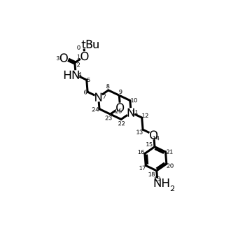 CC(C)(C)OC(=O)NCCN1CC2CN(CCOc3ccc(N)cc3)CC(C1)O2